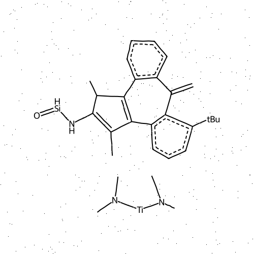 C=C1c2ccccc2C2=C(C(C)=C(N[SiH]=O)C2C)c2cccc(C(C)(C)C)c21.C[N](C)[Ti][N](C)C